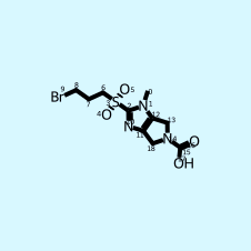 Cn1c(S(=O)(=O)CCCBr)nc2c1CN(C(=O)O)C2